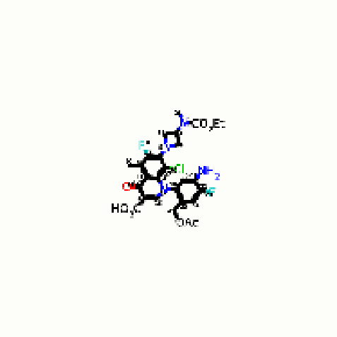 CCOC(=O)N(C)C1CN(c2c(F)c(C)c3c(=O)c(C(=O)O)cn(-c4cc(N)c(F)cc4COC(C)=O)c3c2Cl)C1